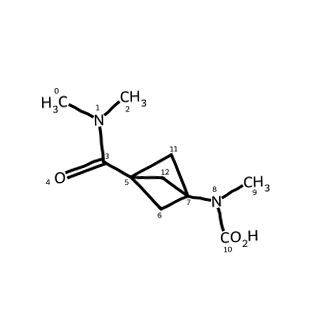 CN(C)C(=O)C12CC(N(C)C(=O)O)(C1)C2